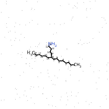 CCCCCCCCC(CCCCN)CCCCCC